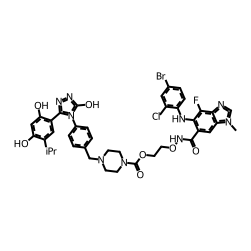 CC(C)c1cc(-c2nnc(O)n2-c2ccc(CN3CCN(C(=O)OCCONC(=O)c4cc5c(ncn5C)c(F)c4Nc4ccc(Br)cc4Cl)CC3)cc2)c(O)cc1O